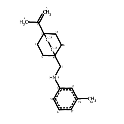 C=C(C)C12CCC(CNc3cccc(C)c3)(CC1)CC2